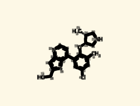 Cc1cc(Cl)cc(-c2ccnc3cc(CO)sc23)c1O[C@@H]1CNC[C@H]1C